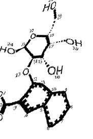 O=C(O)c1cc2ccccc2cc1O[C@@H]1[C@@H](O)[C@@H](O)[C@@H](CO)O[C@@H]1O